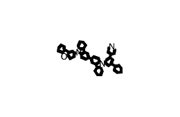 C1=CC(c2cc(-c3ccncc3)cc(-n3c4c(c5cc(-c6ccc7c(c6)c6c(n7-c7ccc8oc9ccccc9c8c7)C=CCC6)ccc53)CCC=C4)c2)=CCC1